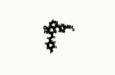 Nc1nc(-c2nccc3c(=O)[nH]c(CCc4ccc(F)cc4)nc23)cs1